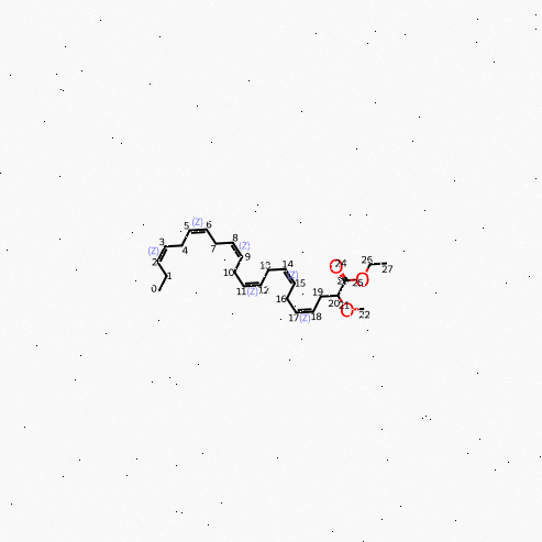 CC/C=C\C/C=C\C/C=C\C/C=C\C/C=C\C/C=C\CC(OC)C(=O)OCC